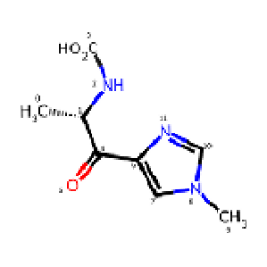 C[C@H](NC(=O)O)C(=O)c1cn(C)cn1